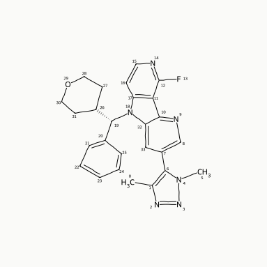 Cc1nnn(C)c1-c1cnc2c3c(F)nccc3n([C@H](c3ccccc3)C3CCOCC3)c2c1